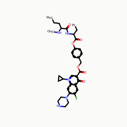 CSCCC(NC=O)C(=O)NC(CC(C)C)C(=O)Oc1ccc(COC(=O)c2cn(C3CC3)c3cc(N4CCNCC4)c(F)cc3c2=O)cc1